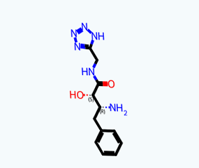 N[C@H](Cc1ccccc1)[C@H](O)C(=O)NCc1nnn[nH]1